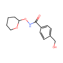 O=C(NOC1CCCCO1)c1ccc(CO)cc1